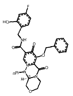 CCCN1[C@@H]2COCCN2C(=O)c2c(OCc3ccccc3)c(=O)c(C(=O)NCc3ccc(F)cc3O)cn21